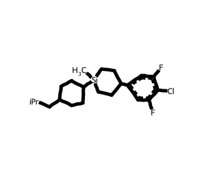 CC(C)CC1CCC([Si]2(C)CCC(c3cc(F)c(Cl)c(F)c3)CC2)CC1